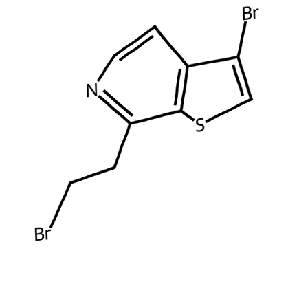 BrCCc1nccc2c(Br)csc12